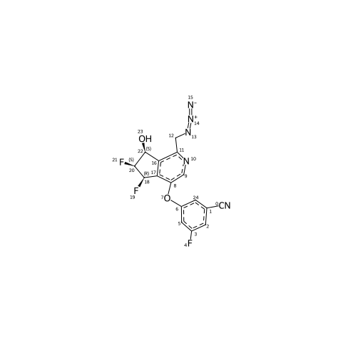 N#Cc1cc(F)cc(Oc2cnc(CN=[N+]=[N-])c3c2[C@@H](F)[C@@H](F)[C@H]3O)c1